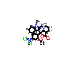 CCOc1cc(N(Cl)Cl)ccc1C1(c2c(C)n(CC)c3ccccc23)OC(=O)c2cccnc21